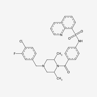 CC1CN(Cc2ccc(Cl)c(F)c2)CC(C)N1C(=O)c1ccc(NS(=O)(=O)c2cccc3cccnc23)cc1